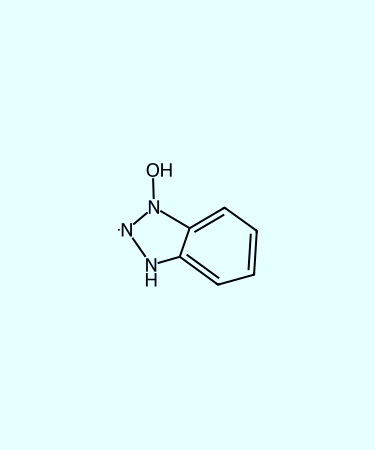 ON1[N]Nc2ccccc21